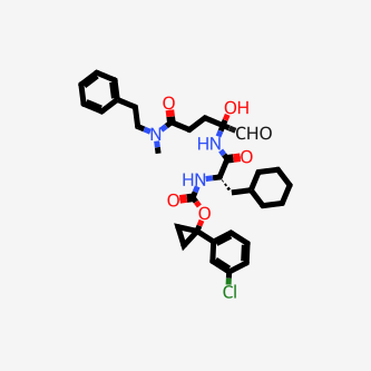 CN(CCc1ccccc1)C(=O)CCC(O)(C=O)NC(=O)[C@H](CC1CCCCC1)NC(=O)OC1(c2cccc(Cl)c2)CC1